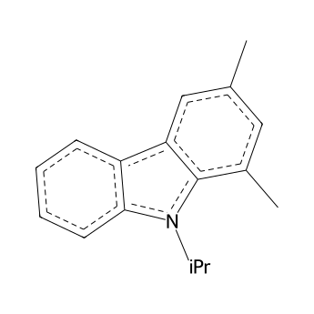 Cc1cc(C)c2c(c1)c1ccccc1n2C(C)C